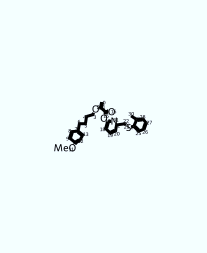 C=C(OCCCCc1ccc(OC)cc1)C(=O)Oc1cccc(CSc2ccccc2C)n1